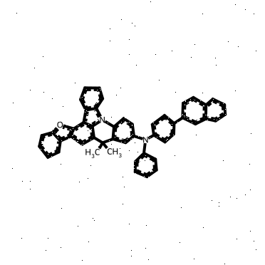 CC1(C)c2cc(N(c3ccccc3)c3ccc(-c4ccc5ccccc5c4)cc3)ccc2-n2c3ccccc3c3c4oc5ccccc5c4cc1c32